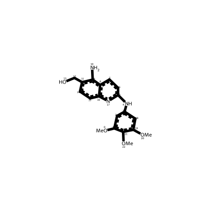 COc1cc(Nc2ccc3c(N)c(CO)ccc3n2)cc(OC)c1OC